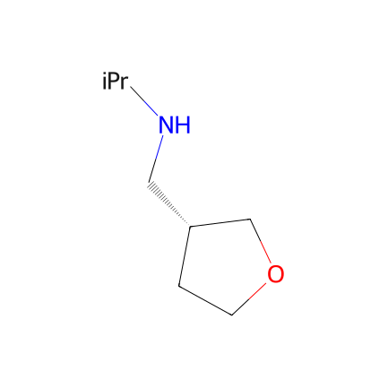 CC(C)NC[C@H]1CCOC1